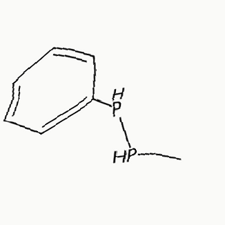 CPPc1ccccc1